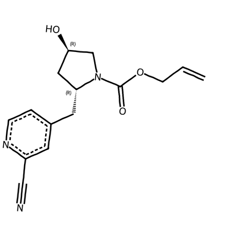 C=CCOC(=O)N1C[C@H](O)C[C@H]1Cc1ccnc(C#N)c1